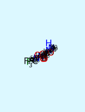 C[C@H](N(Cc1ccc(F)cc1)C(=O)CN1CO[C@]2(C(=O)Cc3cc(NC(=O)c4ccccn4)ccc32)C1=O)C(F)(F)F